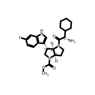 COC(=O)N1C[C@H](c2c[nH]c3cc(F)ccc23)[C@@H]2[C@H]1CCN2C(=O)[C@@H](N)C1CCCCC1